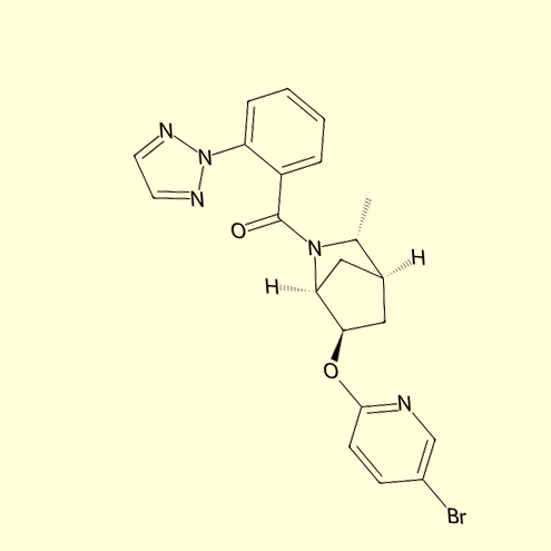 C[C@@H]1[C@H]2C[C@@H](Oc3ccc(Br)cn3)[C@H](C2)N1C(=O)c1ccccc1-n1nccn1